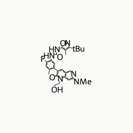 CNc1cc2c(cn1)cc(-c1cc(NC(=O)Nc3onc(C(C)(C)C)c3C)c(F)cc1C)c(=O)n2CCO